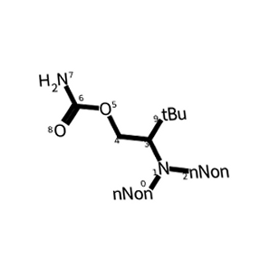 CCCCCCCCCN(CCCCCCCCC)C(COC(N)=O)C(C)(C)C